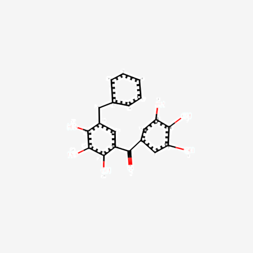 O=C(c1cc(O)c(O)c(O)c1)c1cc(Cc2ccccc2)c(O)c(O)c1O